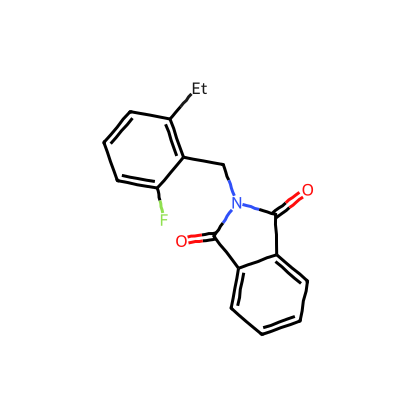 CCc1cccc(F)c1CN1C(=O)c2ccccc2C1=O